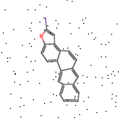 Ic1cc2c(ccc3c4cc5ccccc5cc4ccc23)o1